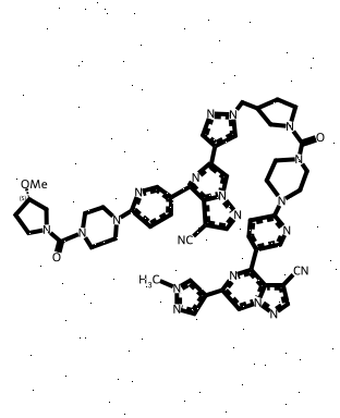 CO[C@H]1CCN(C(=O)N2CCN(c3ccc(-c4nc(-c5cnn(CC6CCN(C(=O)N7CCN(c8ccc(-c9nc(-c%10cnn(C)c%10)cn%10ncc(C#N)c9%10)cn8)CC7)C6)c5)cn5ncc(C#N)c45)cn3)CC2)C1